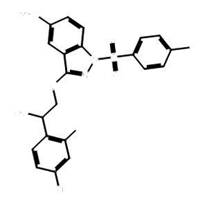 COc1ccc2c(c1)c(OCC(O)c1ccc(Cl)cc1Cl)nn2S(=O)(=O)c1ccc(C)cc1